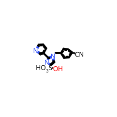 N#Cc1ccc(Cn2ccnc2-c2cccnc2)cc1.O=S(=O)(O)O